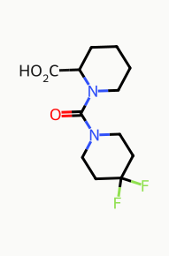 O=C(O)C1CCCCN1C(=O)N1CCC(F)(F)CC1